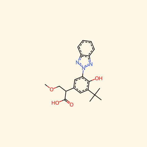 COCC(C(=O)O)c1cc(-n2nc3ccccc3n2)c(O)c(C(C)(C)C)c1